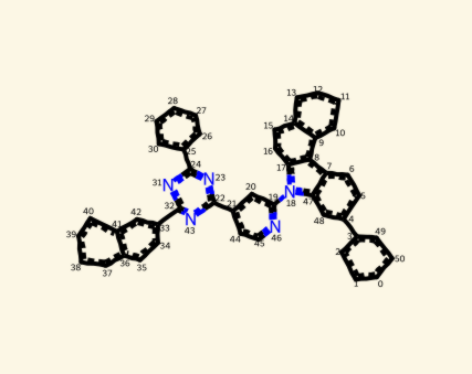 c1ccc(-c2ccc3c4c5ccccc5ccc4n(-c4cc(-c5nc(-c6ccccc6)nc(-c6ccc7ccccc7c6)n5)ccn4)c3c2)cc1